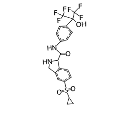 O=C(Nc1ccc(C(O)(C(F)(F)F)C(F)(F)F)cc1)C1NCc2cc(S(=O)(=O)C3CC3)ccc21